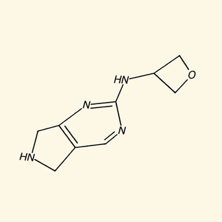 c1nc(NC2COC2)nc2c1CNC2